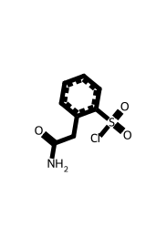 NC(=O)Cc1ccccc1S(=O)(=O)Cl